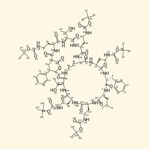 CC(C)C[C@@H]1NC(=O)[C@@H](Cc2ccccc2)NC(=O)[C@H](CCNC(=O)OC(C)(C)C)NC(=O)[C@@H](NC(=O)[C@H](CCNC(=O)OC(C)(C)C)NC(=O)[C@@H](NC(=O)[C@H](CCNC(=O)OC(C)(C)C)NC(=O)C2CC(c3ccccc3)COC2=O)C(C)O)CCNC(=O)[C@H](C(C)O)NC(=O)[C@H](CCNC(=O)OC(C)(C)C)NC(=O)[C@H](CCNC(=O)OC(C)(C)C)NC1=O